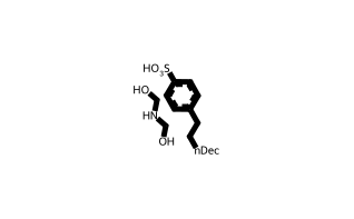 CCCCCCCCCCCCc1ccc(S(=O)(=O)O)cc1.OCNCO